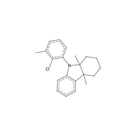 Cc1cccc(N2c3ccccc3C3(C)CCCCC23C)c1Cl